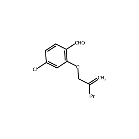 C=C(COc1cc(Cl)ccc1C=O)C(C)C